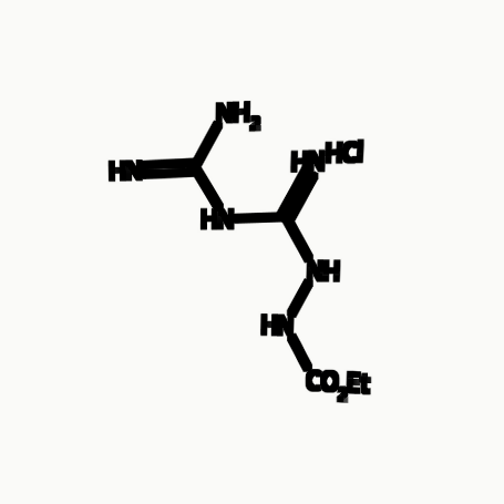 CCOC(=O)NNC(=N)NC(=N)N.Cl